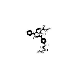 CONC(=O)Nc1ccc(C2NC3N(C(=O)OC(C)C)C=CC(=O)N3C2CN(C)Cc2ccccc2)cc1